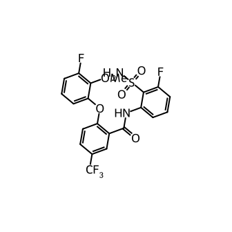 COc1c(F)cccc1Oc1ccc(C(F)(F)F)cc1C(=O)Nc1cccc(F)c1S(N)(=O)=O